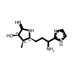 C[C@@H]1[C@H](CCC(N)c2ncc[nH]2)NC(=N)[C@@H]1O